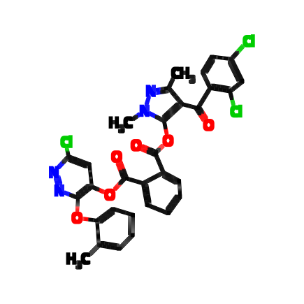 Cc1ccccc1Oc1nnc(Cl)cc1OC(=O)c1ccccc1C(=O)Oc1c(C(=O)c2ccc(Cl)cc2Cl)c(C)nn1C